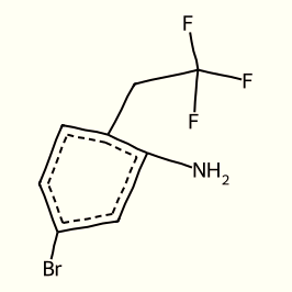 Nc1cc(Br)ccc1CC(F)(F)F